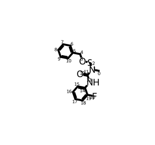 CN(SOCc1ccccc1)C(=O)Nc1ccccc1F